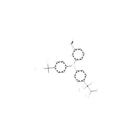 C=Cc1cccc(N(c2ccc(C(C)(CC)CC)cc2)c2ccc(C(CC)(CC)C(CC)CC)cc2)c1